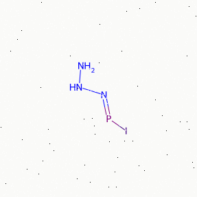 NN/N=P/I